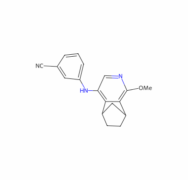 COc1ncc(Nc2cccc(C#N)c2)c2c1C1CCC2C1